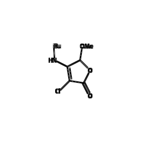 CCC(C)NC1=C(Cl)C(=O)OC1OC